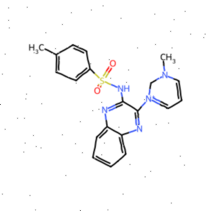 Cc1ccc(S(=O)(=O)Nc2nc3ccccc3nc2[N+]2=CC=CN(C)C2)cc1